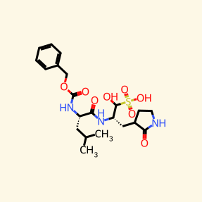 CC(C)C[C@H](NC(=O)OCc1ccccc1)C(=O)N[C@@H](CC1CCNC1=O)C(O)S(=O)(=O)O